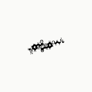 CN(C)CCCOc1ccc(/C=c2\[nH]c(=O)/c(=C/c3ccc(N(C)C)cc3)[nH]c2=O)cc1